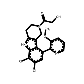 COc1cccnc1-c1cc(Cl)c(Cl)c2[nH]c3c(c12)CN(C(=O)CO)CC3